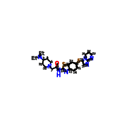 CCN(CC)C1CCN(CC(=O)Nc2nc3ccc(Sc4cnc5ncccn45)cc3s2)CC1